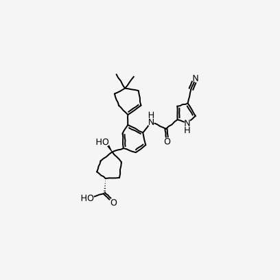 CC1(C)CC=C(c2cc([C@]3(O)CC[C@H](C(=O)O)CC3)ccc2NC(=O)c2cc(C#N)c[nH]2)CC1